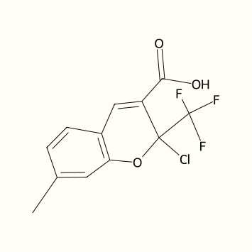 Cc1ccc2c(c1)OC(Cl)(C(F)(F)F)C(C(=O)O)=C2